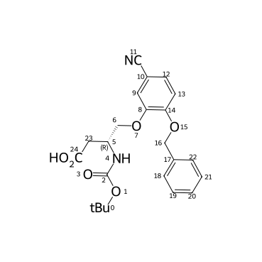 CC(C)(C)OC(=O)N[C@@H](COc1cc(C#N)ccc1OCc1ccccc1)CC(=O)O